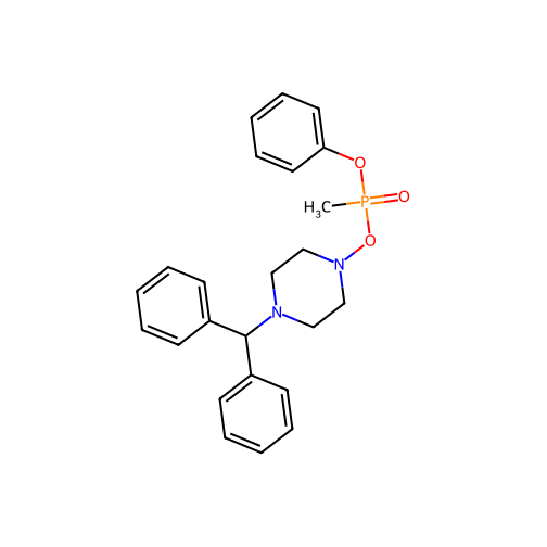 CP(=O)(Oc1ccccc1)ON1CCN(C(c2ccccc2)c2ccccc2)CC1